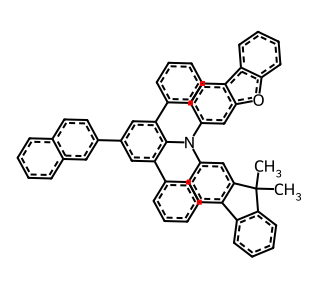 CC1(C)c2ccccc2-c2ccc(N(c3ccc4c(c3)oc3ccccc34)c3c(-c4ccccc4)cc(-c4ccc5ccccc5c4)cc3-c3ccccc3)cc21